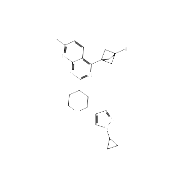 Cc1ccc2c(C34CC(C(C)C)(C3)C4)nc([C@H]3CCO[C@@H](c4cnn(C5CC5)c4)C3)nc2n1